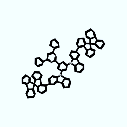 c1ccc(-c2cc(-c3ccccc3)nc(-c3cc(-n4c5ccccc5c5cc(-c6cccc7c6-c6ccccc6C76c7ccccc7-c7ccccc76)ccc54)cc(-n4c5ccccc5c5cc(-c6cccc7c6-c6ccccc6C76c7ccccc7-c7ccccc76)ccc54)c3)n2)cc1